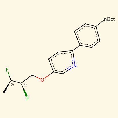 CCCCCCCCc1ccc(-c2ccc(OC[C@@H](F)[C@@H](C)F)cn2)cc1